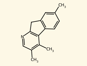 Cc1ccc2c(c1)Cc1ncc(C)c(C)c1-2